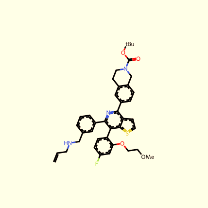 C=CCNCc1cccc(-c2nc(-c3ccc4c(c3)CCN(C(=O)OC(C)(C)C)C4)c3ccsc3c2-c2ccc(F)cc2OCCOC)c1